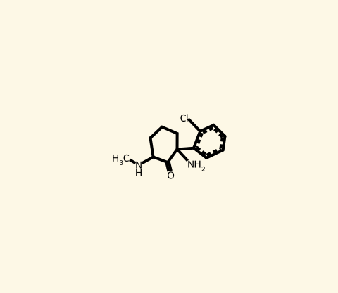 CNC1CCCC(N)(c2ccccc2Cl)C1=O